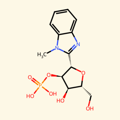 Cn1c([C@@H]2O[C@H](CO)[C@@H](O)[C@H]2OP(=O)(O)O)nc2ccccc21